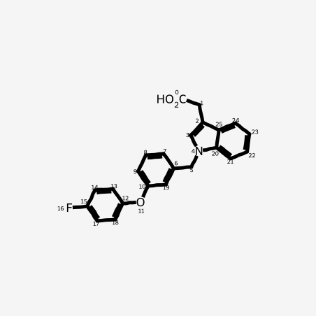 O=C(O)Cc1cn(Cc2cccc(Oc3ccc(F)cc3)c2)c2ccccc12